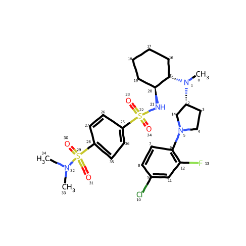 CN([C@@H]1CCN(c2ccc(Cl)cc2F)C1)[C@H]1CCCC[C@@H]1NS(=O)(=O)c1ccc(S(=O)(=O)N(C)C)cc1